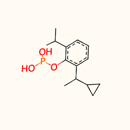 CC(C)c1cccc(C(C)C2CC2)c1OP(O)O